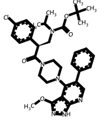 COc1n[nH]c2ncc(-c3ccccc3)c(N3CCN(C(=O)[C@H](CN(C(=O)OC(C)(C)C)C(C)C)c4ccc(Cl)cc4)CC3)c12